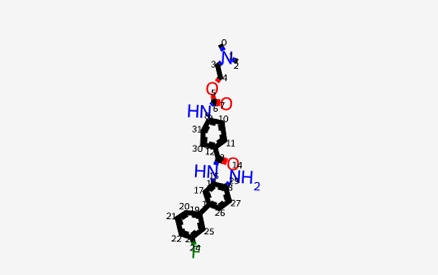 CN(C)CCOC(=O)Nc1ccc(C(=O)Nc2cc(-c3cccc(F)c3)ccc2N)cc1